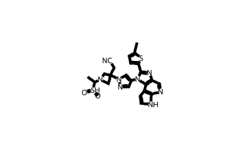 Cc1ccc(-c2nc3cnc4[nH]ccc4c3n2-c2cnn(C3(CC#N)CN(C(C)[SH](=O)=O)C3)c2)s1